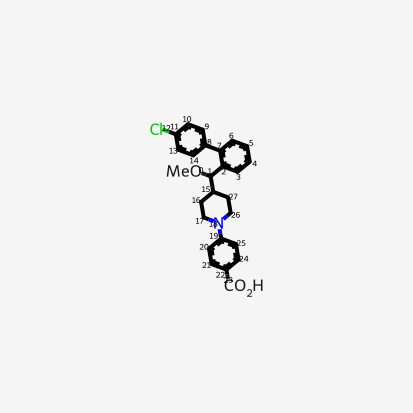 COC(c1ccccc1-c1ccc(Cl)cc1)C1CCN(c2ccc(C(=O)O)cc2)CC1